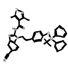 Cc1noc(C)c1C(=O)Nc1nc2cc(C#N)ccc2n1CCc1ccc(O[Si](c2ccccc2)(c2ccccc2)C(C)(C)C)cc1